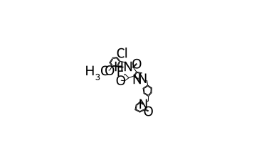 COc1ccc(Cl)c(CNC(=O)c2cn(Cc3ccc(Cn4ccccc4=O)cc3)nc2C2COC2)c1F